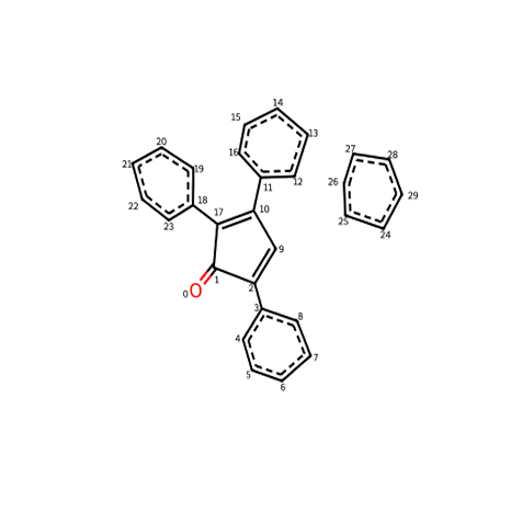 O=C1C(c2ccccc2)=CC(c2ccccc2)=C1c1ccccc1.c1ccccc1